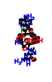 Nc1nc2c(ncn2C2OC3CNS(=O)(=O)OC4C(COP(=O)(O)OC2C3O)OC(n2cnc3c(N)ncnc32)C4F)c(=O)[nH]1